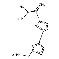 C=[N+](c1nc(-c2ccc(CNC(C)=O)o2)co1)N(N)CCCC